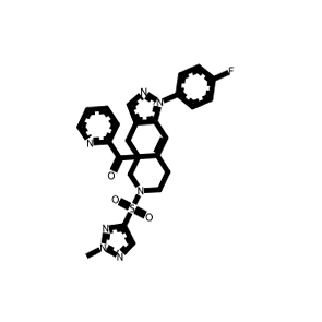 Cn1ncc(S(=O)(=O)N2CCC3=Cc4c(cnn4-c4ccc(F)cc4)CC3(C(=O)c3ccccn3)C2)n1